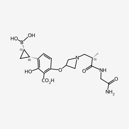 C[C@@H](CN1CC(Oc2ccc([C@@H]3C[C@@H]3B(O)O)c(O)c2C(=O)O)C1)C(=O)NCC(N)=O